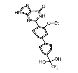 CCOc1cc(-c2ccc(C(O)(O)C(F)(F)F)cc2)ccc1-c1nc2[nH]cnc2c(=O)[nH]1